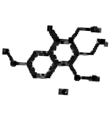 CCCCOc1c(CN)n(CC(C)(C)C)c(=O)c2cc(OCC)ccc12.Cl